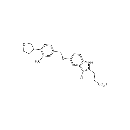 O=C(O)CCc1[nH]c2ccc(OCc3ccc(C4CCOC4)c(C(F)(F)F)c3)cc2c1Cl